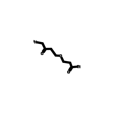 [3H]CC(=O)CCOCCC(=O)CC